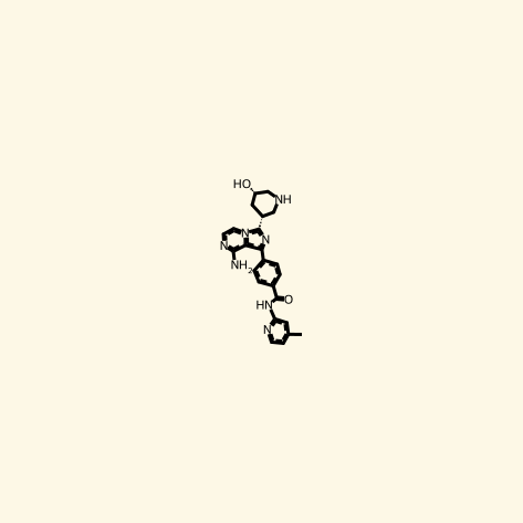 Cc1ccnc(NC(=O)c2ccc(-c3nc([C@H]4CNC[C@@H](O)C4)n4ccnc(N)c34)cc2)c1